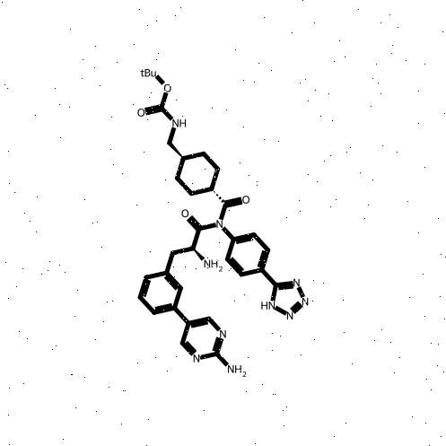 CC(C)(C)OC(=O)NC[C@H]1CC[C@H](C(=O)N(C(=O)[C@@H](N)Cc2cccc(-c3cnc(N)nc3)c2)c2ccc(-c3nnn[nH]3)cc2)CC1